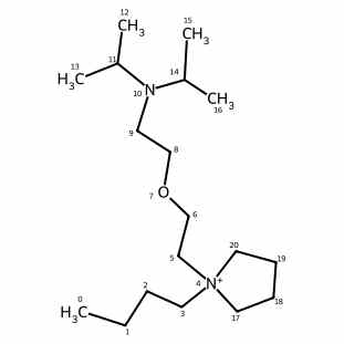 CCCC[N+]1(CCOCCN(C(C)C)C(C)C)CCCC1